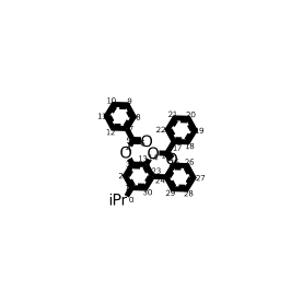 CC(C)c1cc(OC(=O)c2ccccc2)c(OC(=O)c2ccccc2)c(-c2ccccc2)c1